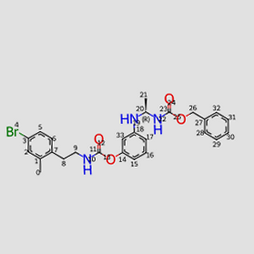 Cc1cc(Br)ccc1CCNC(=O)Oc1cccc(N[C@@H](C)NC(=O)OCc2ccccc2)c1